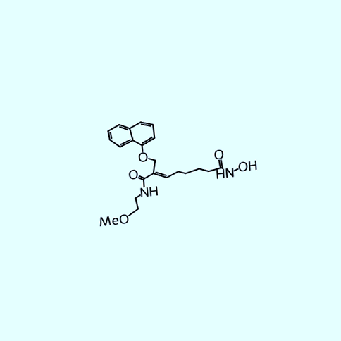 COCCNC(=O)/C(=C/CCCCC(=O)NO)COc1cccc2ccccc12